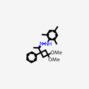 COC1(OC)CC(C(C)=NNc2c(C)cc(C)cc2C)(c2ccccc2)C1